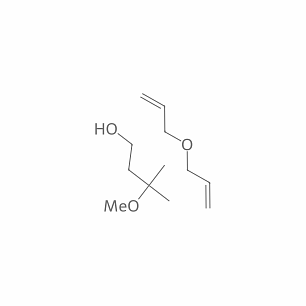 C=CCOCC=C.COC(C)(C)CCO